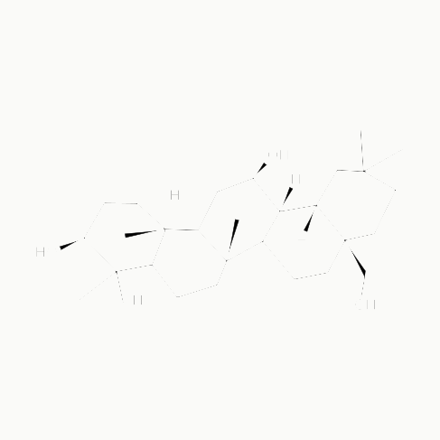 CC1(C)CC[C@]2(CO)CC[C@]3(C)[C@H]([C@H](O)C[C@@H]4[C@@]5(C)CC[C@H](O)C(C)(C)[C@@H]5CC[C@]43C)[C@@H]2C1